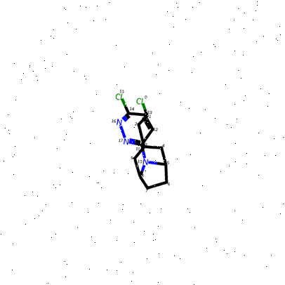 ClCCC1CC2CCC(C1)N2c1ccc(Cl)nn1